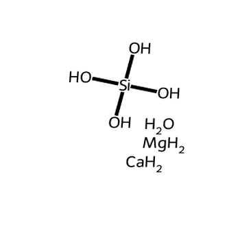 O.O[Si](O)(O)O.[CaH2].[MgH2]